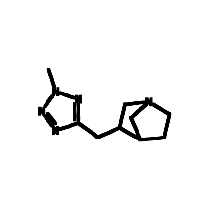 Cn1nnc(CC2CN3CCC2C3)n1